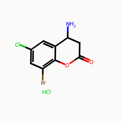 Cl.NC1CC(=O)Oc2c(Br)cc(Cl)cc21